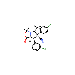 CC(C)[C@@H]1N2[C@@H](C(=O)OC2(C)C)[C@H](c2cccc(Cl)c2)[C@@]1(C#N)c1ccc(Cl)cc1